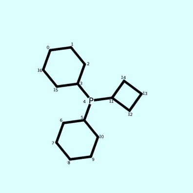 C1CCC(P(C2CCCCC2)C2CCC2)CC1